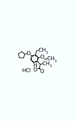 CCOc1c(C(C)C(=O)O)ccc(OC2CCCC2)c1CC.Cl